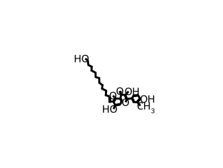 Cc1cc(-c2oc3cc(O)c4cc(CCCCCCCCCCCCO)oc4c3c(=O)c2O)ccc1O